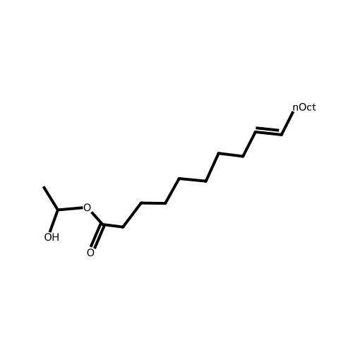 CCCCCCCCC=CCCCCCCCC(=O)OC(C)O